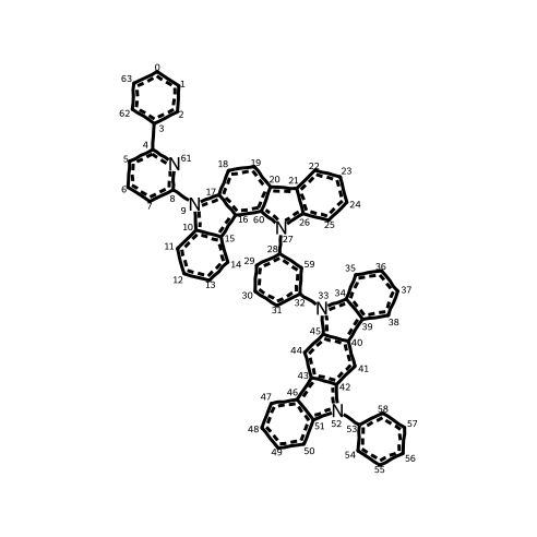 c1ccc(-c2cccc(-n3c4ccccc4c4c3ccc3c5ccccc5n(-c5cccc(-n6c7ccccc7c7cc8c(cc76)c6ccccc6n8-c6ccccc6)c5)c34)n2)cc1